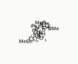 COc1ccc(-c2nc3c(C(=O)N(CCN(C)C(CO)c4cc(OC)ccc4OC)C(C)C)cnn3c(C(F)(F)F)c2C)cc1